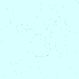 CCC1CCC(NC(=O)c2nc(-c3ccccc3)n3c2CN(C(=O)C2CC2)CC3)C1(C)C